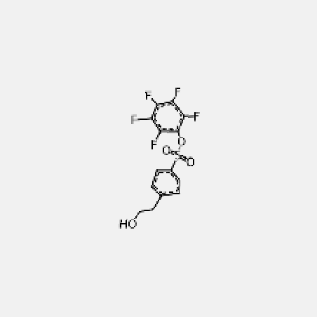 O=S(=O)(Oc1c(F)c(F)c(F)c(F)c1F)c1ccc(CCO)cc1